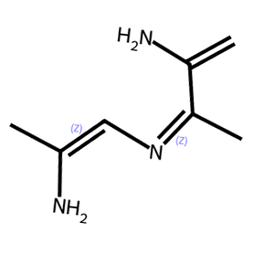 C=C(N)/C(C)=N\C=C(\C)N